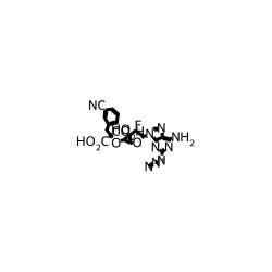 N#Cc1cccc(CC(OC2C3OC(n4cnc5c(N)nc(N=[N+]=[N-])nc54)C(F)C32O)(C(=O)O)C(=O)O)c1